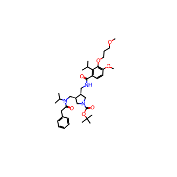 COCCCOc1c(OC)ccc(C(=O)NC[C@H]2CN(C(=O)OC(C)(C)C)C[C@H]2CN(C(=O)Cc2ccccc2)C(C)C)c1C(C)C